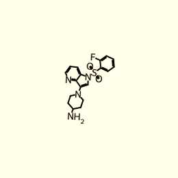 NC1CCN(c2cn(S(=O)(=O)c3ccccc3F)c3cccnc23)CC1